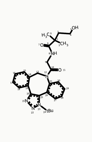 CC(C)(CCO)C(=O)NCC(=O)N1Cc2ccccc2-c2nnn(C(C)(C)C)c2-c2ccccc21